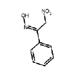 O=[N+]([O-])C/C(=N\O)c1ccccc1